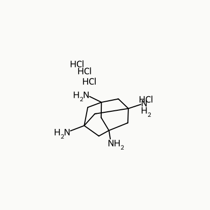 Cl.Cl.Cl.Cl.NC12CC3(N)CC(N)(C1)CC(N)(C2)C3